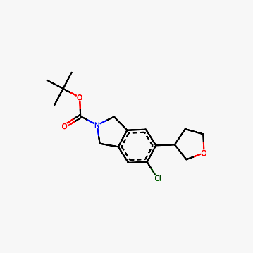 CC(C)(C)OC(=O)N1Cc2cc(Cl)c(C3CCOC3)cc2C1